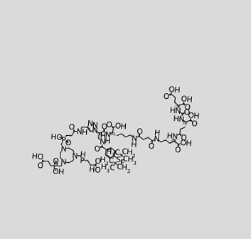 CC(C)(C)S(F)(c1ccc(C(=O)NC[C@H](C(=O)N[C@@H](CCCCNC(=O)CCC(=O)NCCC[C@@H](NC(=O)CC[C@H](NC(=O)N[C@@H](CCC(=O)O)C(=O)O)C(=O)O)C(=O)O)C(=O)O)n2cc(CNC(=O)CCP(=O)(O)CN3CCN(CPCCC(=O)O)CCN(CP(=O)(O)CCC(=O)O)CC3)nn2)cc1)C(C)(C)C